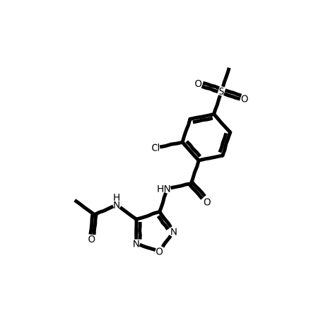 CC(=O)Nc1nonc1NC(=O)c1ccc(S(C)(=O)=O)cc1Cl